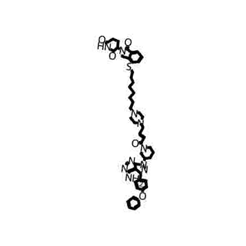 Nc1ncnc2c1c(-c1ccc(Oc3ccccc3)cc1)nn2C1CCCN(C(=O)/C=C/CN2CCN(CCCCCCCCSc3cccc4c3CN(C3CCC(=O)NC3=O)C4=O)CC2)C1